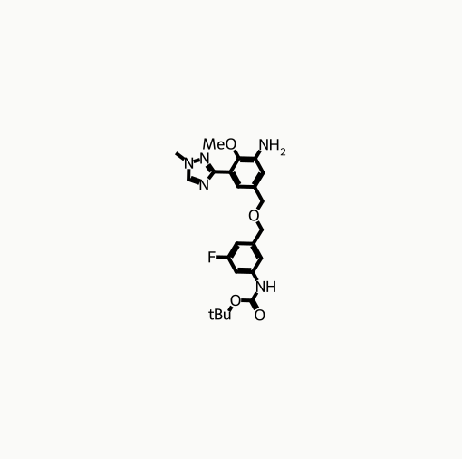 COc1c(N)cc(COCc2cc(F)cc(NC(=O)OC(C)(C)C)c2)cc1-c1ncn(C)n1